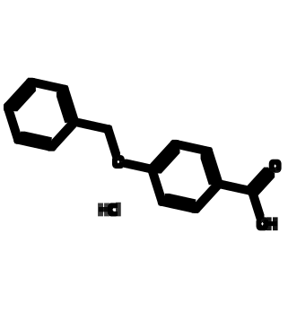 Cl.O=C(O)c1ccc(OCc2ccccc2)cc1